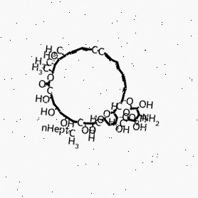 CCCCCCCC.C[C@@H]1[C@H](O)[C@@H](C)/C=C/C=C/CC/C=C/C=C/C=C/C=C/[C@H](O[C@@H]2O[C@H](C)[C@@H](O)[C@H](N)[C@@H]2O)C[C@@H]2O[C@](O)(C[C@@H](O)[C@H](O)CC[C@@H](O)C[C@@H](O)C[C@@H](O)CC(=O)O[C@H]1C)C[C@H](O)[C@H]2C(=O)O